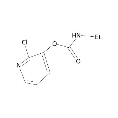 CCNC(=O)Oc1cccnc1Cl